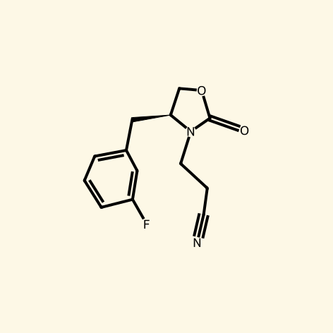 N#CCCN1C(=O)OC[C@@H]1Cc1cccc(F)c1